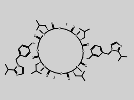 CC(C)C[C@H]1C(=O)O[C@H](Cc2cccc(Cn3ccnc3C(C)C)c2)C(=O)N(C)[C@@H](CC(C)C)C(=O)O[C@H](C)C(=O)N(C)[C@@H](CC(C)C)C(=O)O[C@H](Cc2ccc(Cn3ccnc3C(C)C)cc2)C(=O)N(C)[C@@H](CC(C)C)C(=O)O[C@H](C)C(=O)N1C